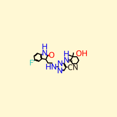 CC1(C)C(O)CCC[C@H]1Nc1nc(NCCC2C(=O)Nc3ccc(F)cc32)ncc1C#N